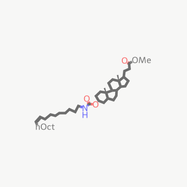 CCCCCCCC/C=C\CCCCCCCCNC(=O)O[C@@H]1CC[C@@]2(C)C(CCC3C2CC[C@]2(C)C(CCC(=O)OC)CCC32)C1